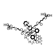 COc1ccccc1Oc1c(OCCOC(=O)CCCON(O)O)nc(-c2ncccn2)nc1N(C(C)OC(=O)OCCOCCON(O)O)S(=O)(=O)c1ccc(C(C)(C)C)cc1